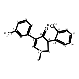 CN1C=C(c2cccc(C(F)(F)F)c2)C(=O)C(c2ccccc2Cl)C1